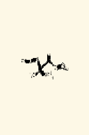 CC(C)(C)OC(=O)[C@](C)(N)N=C=O